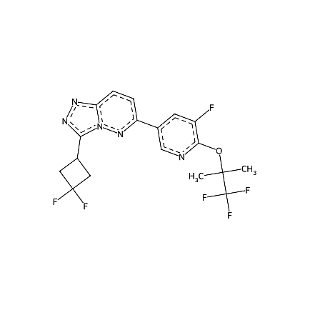 CC(C)(Oc1ncc(-c2ccc3nnc(C4CC(F)(F)C4)n3n2)cc1F)C(F)(F)F